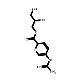 N=C(N)NC1=COC(C(=O)OCC(O)CO)C=C1